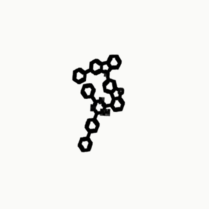 c1ccc(C2=NC(c3ccc(-c4ccccc4)cc3)NC(c3cccc4oc5cc(-n6c7ccccc7c7ccc(-c8ccccc8)cc76)ccc5c34)=N2)cc1